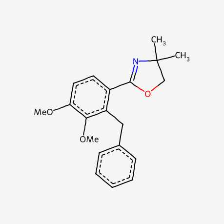 COc1ccc(C2=NC(C)(C)CO2)c(Cc2ccccc2)c1OC